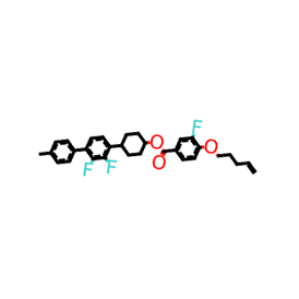 C=CCCCOc1ccc(C(=O)OC2CCC(c3ccc(-c4ccc(C)cc4)c(F)c3F)CC2)cc1F